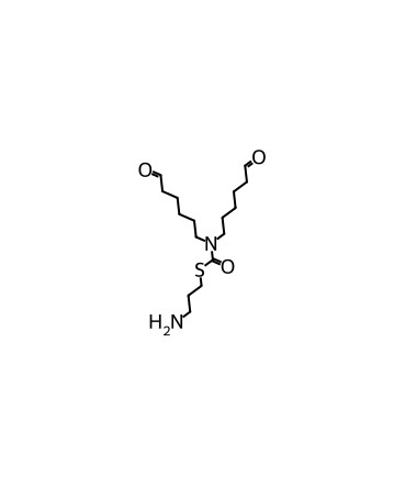 NCCCSC(=O)N(CCCCCC=O)CCCCCC=O